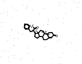 CC(=O)C(Cc1ccccc1)C1CCC2C3CCC4=CC(=O)CC[C@]4(C)C3CCC12C